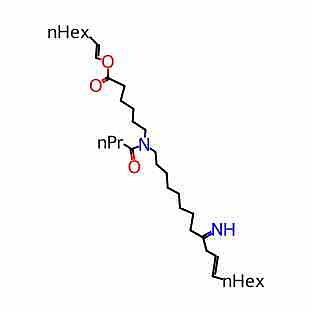 CCCCCC/C=C/CC(=N)CCCCCCCCN(CCCCCC(=O)O/C=C/CCCCCC)C(=O)CCC